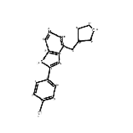 Clc1ccc(-c2cc3c(CC4CCOC4)nncc3s2)cc1